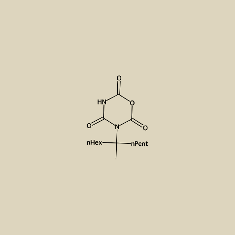 CCCCCCC(C)(CCCCC)n1c(=O)[nH]c(=O)oc1=O